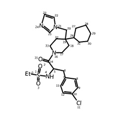 CCS(=O)(=O)NC(Cc1ccc(Cl)cc1)C(=O)N1CCC(Cn2ccnc2)(C2CCCCC2)CC1